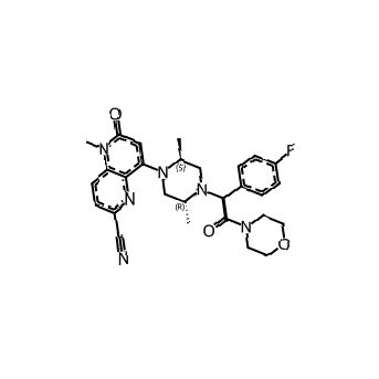 C[C@@H]1CN(c2cc(=O)n(C)c3ccc(C#N)nc23)[C@@H](C)CN1C(C(=O)N1CCOCC1)c1ccc(F)cc1